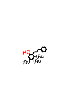 CC(C)(C)c1cc(O)c(CCCc2ccccc2)c(C(C)(C)C)c1C(C)(C)C